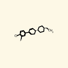 CC[C@H]1CC[C@H](C2C=CC(c3ccc(Cl)c(F)c3)=CC2)CC1